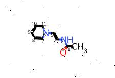 CC(=O)NC=CN1C=CC=CC1